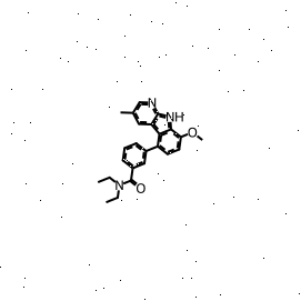 CCN(CC)C(=O)c1cccc(-c2ccc(OC)c3[nH]c4ncc(C)cc4c23)c1